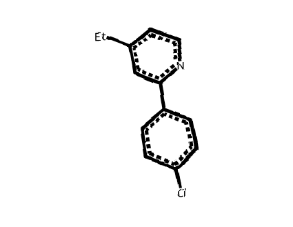 CCc1ccnc(-c2ccc(Cl)cc2)c1